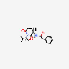 CC(C)[C@H]1CO[C@]23CCN(C(=O)Cc4ccccc4)C[C@H]2CCC(=O)N13